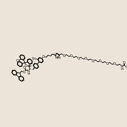 CCc1cc(OCCCCn2cc(COCCOCCOCCOCCOCCOCCOCCOCCNC(=O)OC(C)(C)C)nn2)ccc1-c1ccc(C[C@H](NC(=O)OCC2c3ccccc3-c3ccccc32)C(=O)OC(c2ccccc2)(c2ccccc2)c2ccccc2Cl)cc1